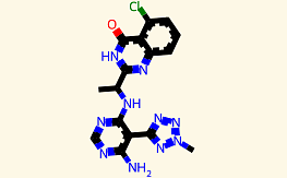 CC(Nc1ncnc(N)c1-c1nnn(C)n1)c1nc2cccc(Cl)c2c(=O)[nH]1